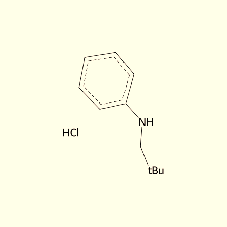 CC(C)(C)CNc1ccccc1.Cl